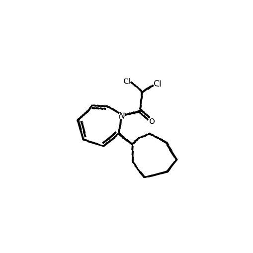 O=C(C(Cl)Cl)N1C=CC=CC=C1[C]1CCCCCC1